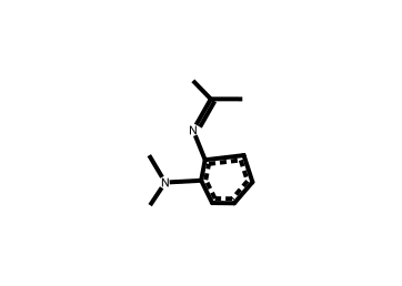 CC(C)=Nc1ccccc1N(C)C